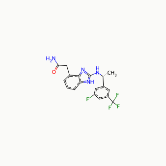 C[C@@H](Nc1nc2c(CC(N)=O)cccc2[nH]1)c1cc(F)cc(C(F)(F)F)c1